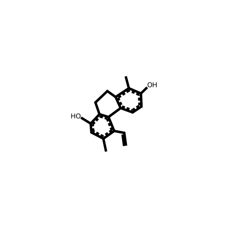 C=Cc1c(C)cc(O)c2c1-c1ccc(O)c(C)c1CC2